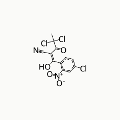 CC(Cl)(Cl)C(=O)C(C#N)=C(O)c1ccc(Cl)cc1[N+](=O)[O-]